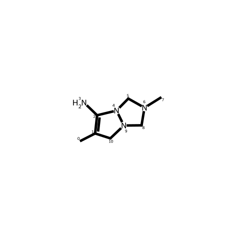 CC1=C(N)N2CN(C)CN2C1